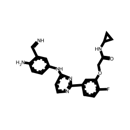 N=Cc1cc(Nc2ccnc(-c3ccc(F)c(OCC(=O)NC4CC4)c3)n2)ccc1N